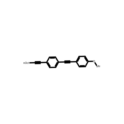 CCCCCCCCC#Cc1ccc(C#Cc2ccc(OCCC)cc2)cc1